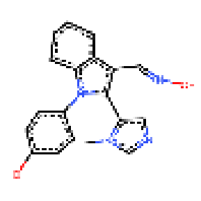 Cn1cncc1-c1c(C=NO)c2ccccc2n1-c1ccc(O)cc1